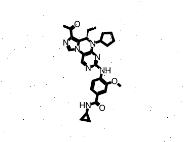 CC[C@@H]1c2c(C(C)=O)ncn2-c2cnc(Nc3ccc(C(=O)NC4CC4)cc3OC)nc2N1C1CCCC1